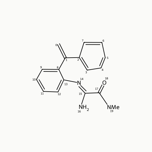 C=C(c1ccccc1)c1ccccc1/N=C(\N)C(=O)NC